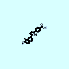 COc1ccc2ccc(-c3ccc(-c4ccc(C(=O)O)cc4)[nH]3)cc2c1C